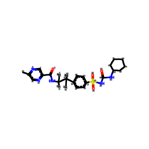 [2H]C([2H])(NC(=O)c1cnc(C)cn1)C([2H])([2H])c1ccc(S(=O)(=O)NC(=O)NC2CCCCC2)cc1